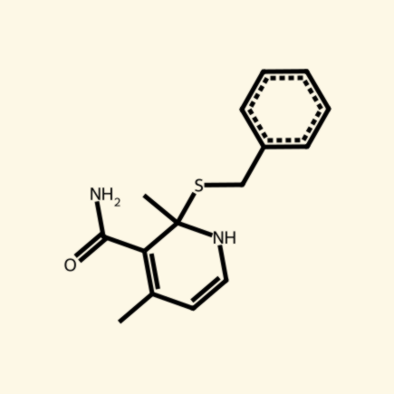 CC1=C(C(N)=O)C(C)(SCc2ccccc2)NC=C1